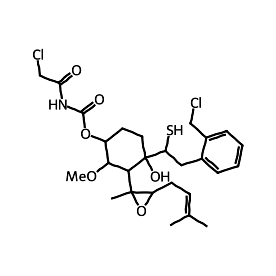 COC1C(OC(=O)NC(=O)CCl)CCC(O)(C(S)Cc2ccccc2CCl)C1C1(C)OC1CC=C(C)C